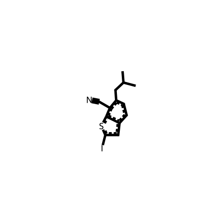 CC(C)Cc1ccc2cc(I)sc2c1C#N